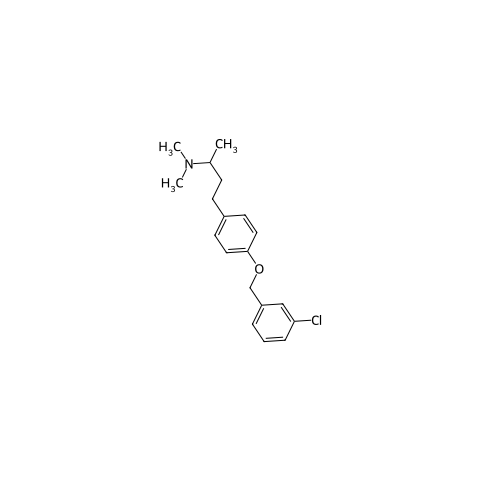 CC(CCc1ccc(OCc2cccc(Cl)c2)cc1)N(C)C